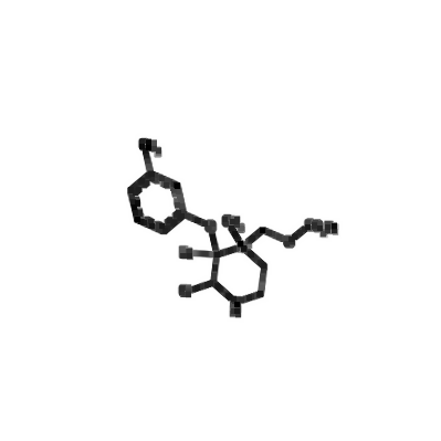 CCOC(=O)OC[N+]1(C)CCNC(Cl)C1(CC)Oc1cccc(C)c1